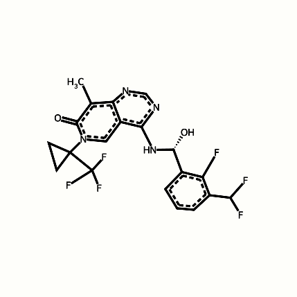 Cc1c(=O)n(C2(C(F)(F)F)CC2)cc2c(N[C@H](O)c3cccc(C(F)F)c3F)ncnc12